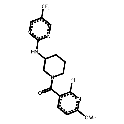 COc1ccc(C(=O)N2CCCC(Nc3ncc(C(F)(F)F)cn3)C2)c(Cl)n1